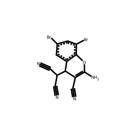 N#CC1=C(N)Oc2c(Br)cc(Br)cc2C1C(C#N)C#N